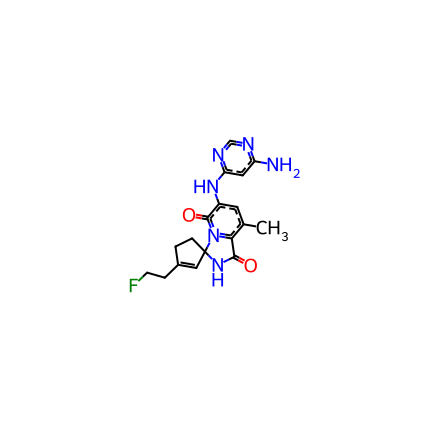 Cc1cc(Nc2cc(N)ncn2)c(=O)n2c1C(=O)NC21C=C(CCF)CC1